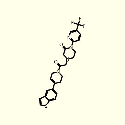 O=C(CN1CCN(c2ccc(C(F)(F)F)cn2)C(=O)C1)N1CC=C(c2ccc3sccc3c2)CC1